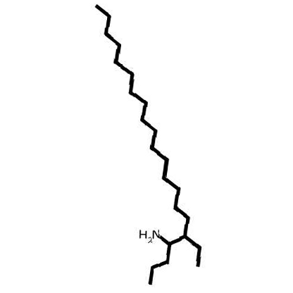 CCCCCCCCCCCCCCCCC(CC)C(N)CCC